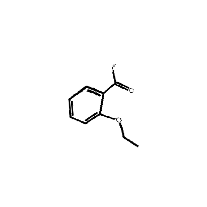 CCOc1ccccc1C(=O)F